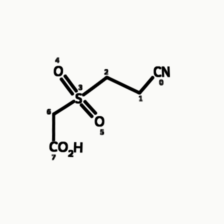 N#CCCS(=O)(=O)CC(=O)O